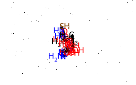 CC(C)(COP(=O)(O)OP(=O)(O)OC[C@H]1O[C@@H](n2cnc3c(N)ncnc32)[C@H](O)[C@@H]1OP(=O)(O)O)[C@@H](O)C(=O)NCCC(=O)NCCS.CCCCCCCCCCCC(O)O